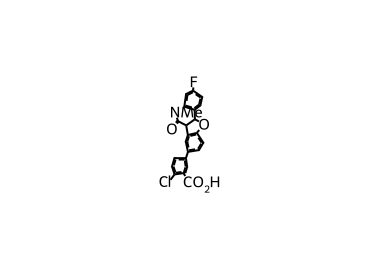 CNC(=O)C1c2cc(-c3ccc(Cl)c(C(=O)O)c3)ccc2OC1c1ccc(F)cc1